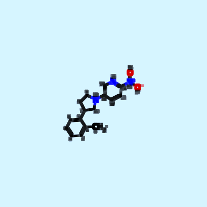 [CH2]c1ccccc1C1CCN(c2ccc([N+](=O)[O-])nc2)C1